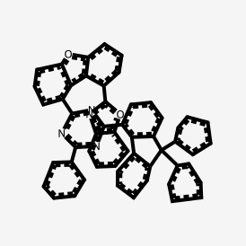 c1ccc(-c2nc(-c3cccc4c3-c3ccccc3C4(c3ccccc3)c3ccccc3)nc(-c3cccc4oc5cccc(-c6nc7ccccc7o6)c5c34)n2)cc1